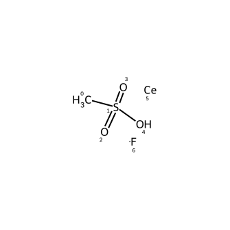 CS(=O)(=O)O.[Ce].[F]